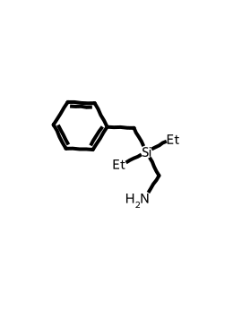 CC[Si](CC)(CN)Cc1ccccc1